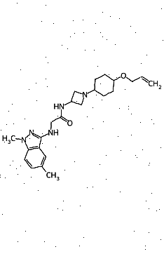 C=CCOC1CCC(N2CC(NC(=O)CNc3nn(C)c4ccc(C)cc34)C2)CC1